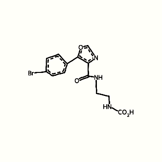 O=C(O)NCCNC(=O)c1ncoc1-c1ccc(Br)cc1